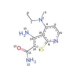 CCN(C)c1ccnc2sc(C(N)=O)c(N)c12